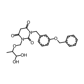 CC(OCN1C(=O)CC(=O)N(Cc2cccc(OCc3ccccc3)c2)C1=O)C(O)O